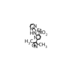 CC[C@H](Nc1nc(-c2c(C)noc2C)ccc1[N+](=O)[O-])c1ncccn1